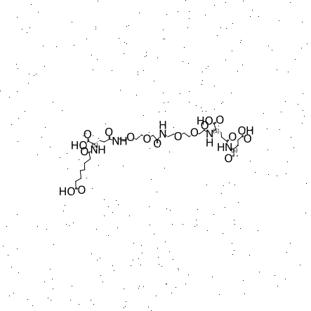 O=[C][C@H](CCC(=O)O)NC(=O)CC[C@H](NC(=O)COCCOCCNC(=O)COCCOCCNC(=O)CC[C@H](NC(=O)CCCCCCC(=O)O)C(=O)O)C(=O)O